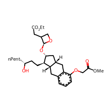 CCCCC[C@@H](O)CC[C@@H]1[C@H]2Cc3cccc(OCC(=O)OC)c3C[C@H]2C[C@H]1O[C@@H]1OCC1CC(=O)OCC